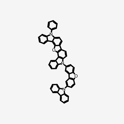 c1ccc(-n2c3ccccc3c3c4oc5c(ccc6c5c5ccccc5n6-c5ccc6oc7ccc(-n8c9ccccc9c9ccccc98)cc7c6c5)c4ccc32)cc1